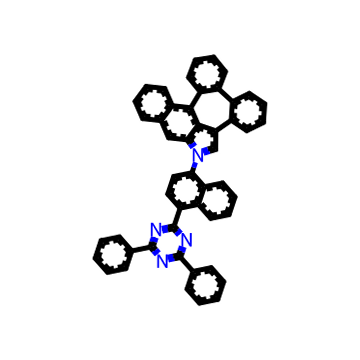 c1ccc(-c2nc(-c3ccccc3)nc(-c3ccc(-n4cc5c6c(c7ccccc7cc64)-c4ccccc4-c4ccccc4-5)c4ccccc34)n2)cc1